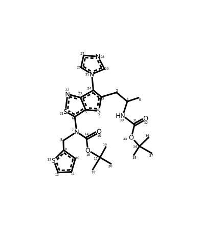 CC(Cc1sc2c(N(Cc3cccs3)C(=O)OC(C)(C)C)snc2c1-n1ccnc1)NC(=O)OC(C)(C)C